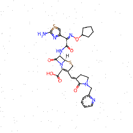 Nc1nc(/C(=N/OC2CCCC2)C(=O)N[C@@H]2C(=O)N3C(C(=O)O)=C(/C=C4\CCN(Cc5ccccn5)C4=O)CS[C@H]23)cs1